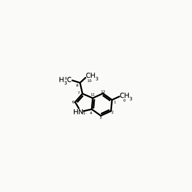 Cc1ccc2[nH]cc(C(C)C)c2c1